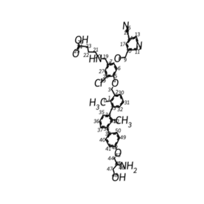 Cc1c(COc2cc(OCc3cncc(C#N)c3)c(CNCCCC(=O)O)cc2Cl)cccc1-c1cccc(-c2ccc(OC[C@@H](N)CO)cc2)c1C